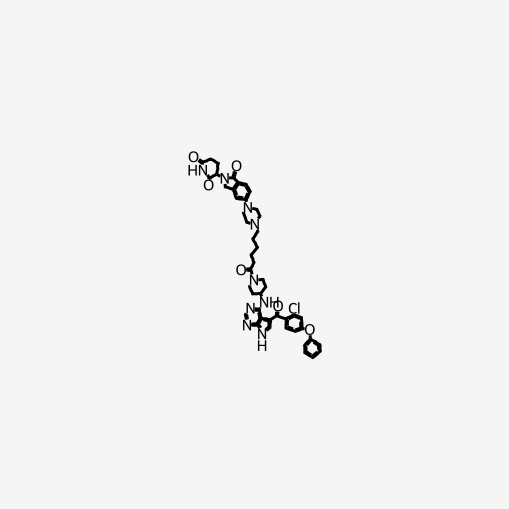 O=C1CCC(N2Cc3cc(N4CCN(CCCCCC(=O)N5CCC(Nc6ncnc7[nH]cc(C(=O)c8ccc(Oc9ccccc9)cc8Cl)c67)CC5)CC4)ccc3C2=O)C(=O)N1